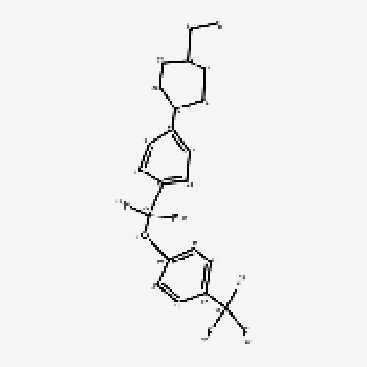 CCC1CCC(c2ccc(C(F)(F)Oc3ccc(C(F)(F)F)cc3)cc2)CC1